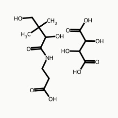 CC(C)(CO)C(O)C(=O)NCCC(=O)O.O=C(O)C(O)C(O)C(=O)O